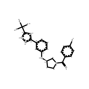 O=C(c1ccc(F)cc1)N1CC[C@@H](Oc2cccc(-c3noc(C(F)(F)F)n3)c2)C1